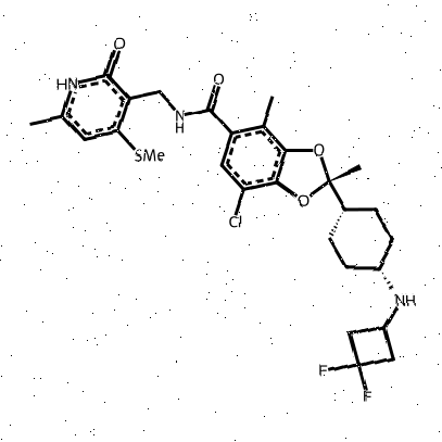 CSc1cc(C)[nH]c(=O)c1CNC(=O)c1cc(Cl)c2c(c1C)O[C@](C)([C@H]1CC[C@@H](NC3CC(F)(F)C3)CC1)O2